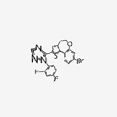 Fc1ccc(-n2ncnc2-c2cc3c(s2)-c2ccc(Br)cc2OCC3)c(F)c1